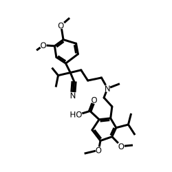 COc1ccc(C(C#N)(CCCN(C)CCc2c(C(=O)O)cc(OC)c(OC)c2C(C)C)C(C)C)cc1OC